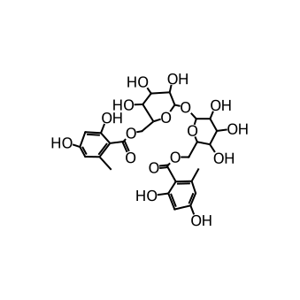 Cc1cc(O)cc(O)c1C(=O)OCC1OC(OC2OC(COC(=O)c3c(C)cc(O)cc3O)C(O)C(O)C2O)C(O)C(O)C1O